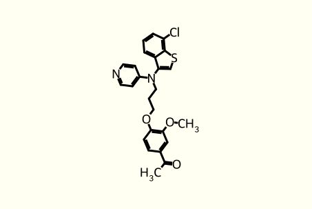 COc1cc(C(C)=O)ccc1OCCCN(c1ccncc1)c1csc2c(Cl)cccc12